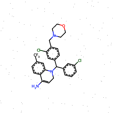 NC1=CCN(C(c2cccc(Cl)c2)c2ccc(CN3CCOCC3)c(Cl)c2)c2cc(C(F)(F)F)ccc21